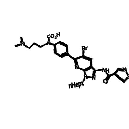 CCCCCCCn1nc(NC(=O)c2cnsc2)c2cc(Br)c(-c3ccc(N(CCCN(C)C)C(=O)O)cc3)nc21